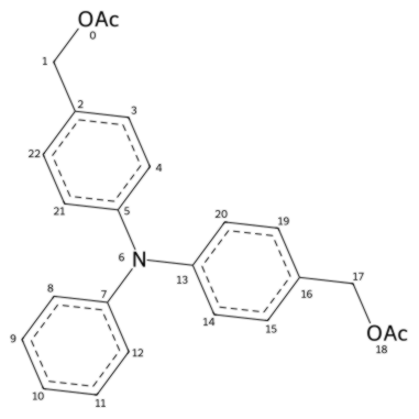 CC(=O)OCc1ccc(N(c2ccccc2)c2ccc(COC(C)=O)cc2)cc1